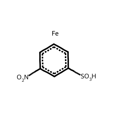 O=[N+]([O-])c1cccc(S(=O)(=O)O)c1.[Fe]